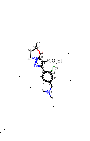 CCOC(=O)c1c(-c2ccc(CN(C)C)cc2F)nn2c1O[C@H](C)CC2